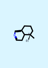 CC[C@]1(C)CCCC2=CN=CCC21